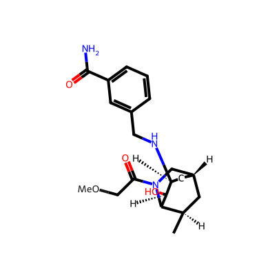 COCC(=O)N1C[C@@H]2C[C@@H](C)C1[C@@H](O)[C@@H](NCc1cccc(C(N)=O)c1)C2